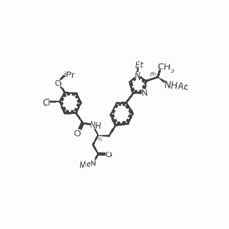 CCn1cc(-c2ccc(C[C@@H](CC(=O)NC)NC(=O)c3ccc(OC(C)C)c(Cl)c3)cc2)nc1[C@@H](C)NC(C)=O